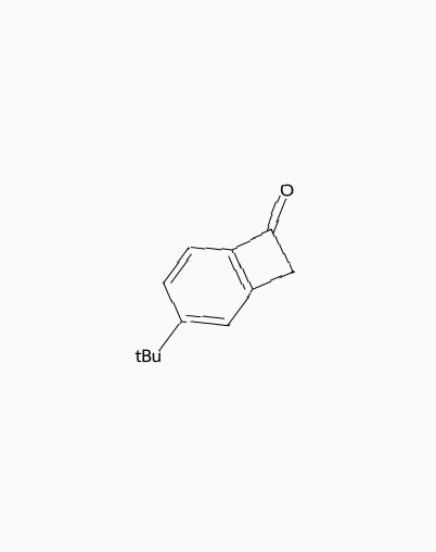 CC(C)(C)c1ccc2c(c1)CC2=O